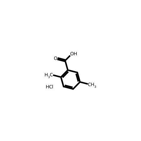 Cc1ccc(C)c(C(=O)O)c1.Cl